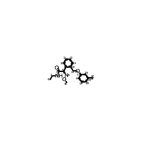 CCNC(=O)C(=NOC)c1ccccc1COc1cccc(F)c1